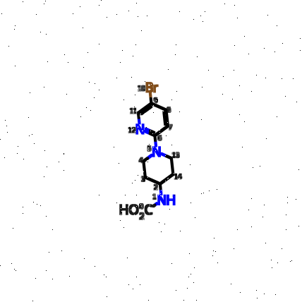 O=C(O)NC1CCN(c2ccc(Br)cn2)CC1